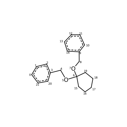 c1ccc(COC2(OCc3ccccc3)CCCCC2)cc1